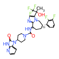 CC(O)(c1cnc2n1C[C@H](c1cccc(F)c1F)CC[C@H]2NC(=O)N1CCC(n2c(=O)[nH]c3ncccc32)CC1)C(F)(F)F